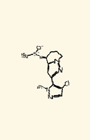 CC(C)n1ncc(Cl)c1-c1cc2n(n1)CCC/C2=N\[S+]([O-])C(C)(C)C